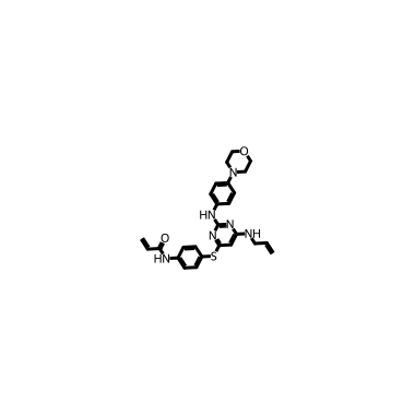 C=CCNc1cc(Sc2ccc(NC(=O)C=C)cc2)nc(Nc2ccc(N3CCOCC3)cc2)n1